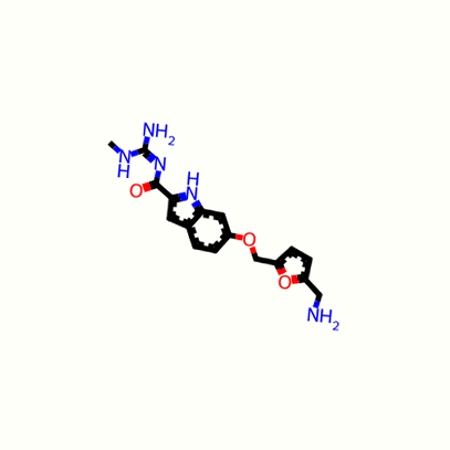 CNC(N)=NC(=O)c1cc2ccc(OCc3ccc(CN)o3)cc2[nH]1